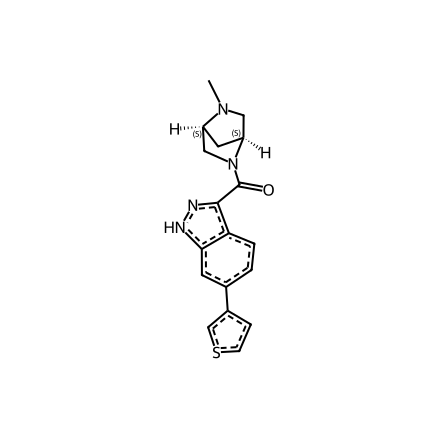 CN1C[C@@H]2C[C@H]1CN2C(=O)c1n[nH]c2cc(-c3ccsc3)ccc12